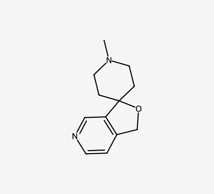 CN1CCC2(CC1)OCc1ccncc12